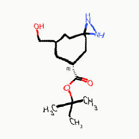 CC(C)(C)OC(=O)[C@@H]1CC(CO)CC2(C1)NN2